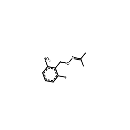 CC(C)=NOCc1c(F)cccc1[N+](=O)[O-]